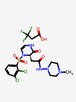 CN1CCN(NC(=O)C[C@@H]2C(=O)NC=CN2S(=O)(=O)c2cccc(Cl)c2Cl)CC1.O=C(O)CC(F)(F)F